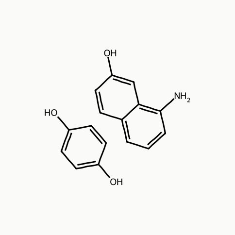 Nc1cccc2ccc(O)cc12.Oc1ccc(O)cc1